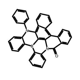 O=c1c2ccccc2c2c3ccccc3c3c4c2n1-c1ccccc1B4c1ccccc1N3c1ccccc1